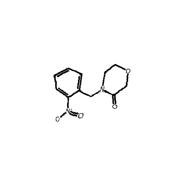 O=C1COCCN1Cc1ccccc1[N+](=O)[O-]